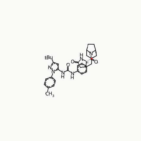 Cc1ccc(-n2nc(C(C)(C)C)cc2NC(=O)Nc2ccc(CC3CC4CCC(C3)N4C(=O)[C@@H]3CCC(=O)N3)cc2)cc1